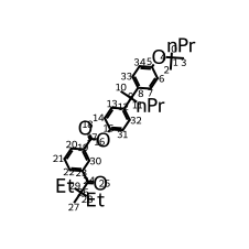 CCCC(C)(C)Oc1ccc(C(C)(CCC)c2ccc(OC(=O)c3cccc(C(=O)C(C)(CC)CC)c3)cc2)cc1